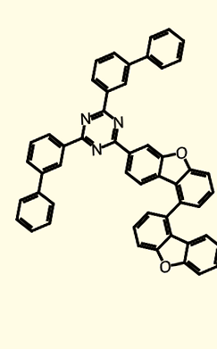 c1ccc(-c2cccc(-c3nc(-c4cccc(-c5ccccc5)c4)nc(-c4ccc5c(c4)oc4cccc(-c6cccc7oc8ccccc8c67)c45)n3)c2)cc1